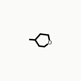 CC1CCOCC1